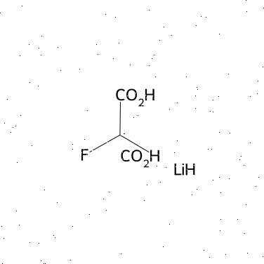 O=C(O)C(F)C(=O)O.[LiH]